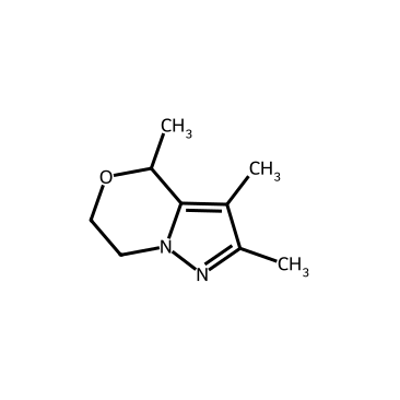 Cc1nn2c(c1C)C(C)OCC2